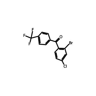 O=C(c1ccc(C(F)(F)F)cc1)c1ccc(Cl)cc1Br